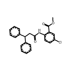 COC(=O)c1cc(Cl)ccc1NC(=O)CC(c1ccccc1)c1ccccc1